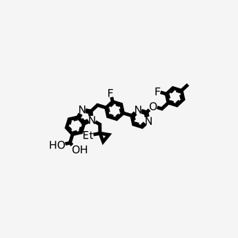 CCC1(Cn2c(Cc3ccc(-c4ccnc(OCc5ccc(C)cc5F)n4)cc3F)nc3ccc(C(O)O)cc32)CC1